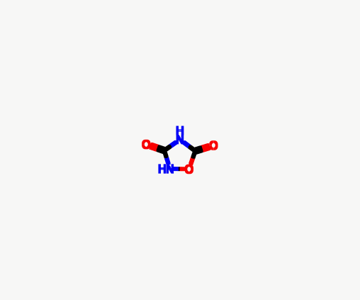 O=c1[nH]oc(=O)[nH]1